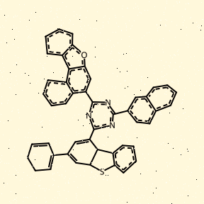 C1=CC(C2=CC3Sc4ccccc4C3C(c3nc(-c4ccc5ccccc5c4)nc(-c4cc5oc6ccccc6c5c5ccccc45)n3)=C2)=CCC1